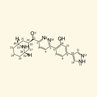 O=C(c1ccc(-c2ccc(-c3cn[nH]c3)cc2O)nn1)[C@@H]1C[C@H]2CCC[C@@H](C1)N2